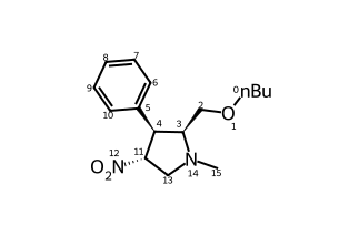 CCCCOC[C@@H]1[C@H](c2ccccc2)[C@@H]([N+](=O)[O-])CN1C